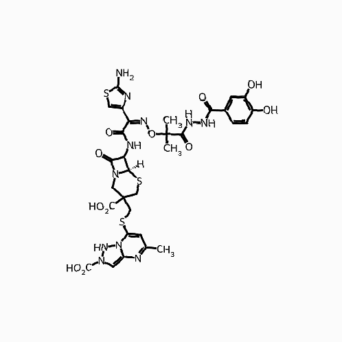 CC1=NC2=CN(C(=O)O)NN2C(SCC2(C(=O)O)CS[C@@H]3C(NC(=O)C(=NOC(C)(C)C(=O)NNC(=O)c4ccc(O)c(O)c4)c4csc(N)n4)C(=O)N3C2)=C1